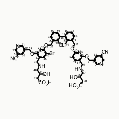 N#Cc1cncc(COc2nc(OCc3cccc(-c4cccc(COc5nc(OCc6cncc(C#N)c6)c(CNCC(O)CC(=O)O)cc5Br)c4Cl)c3Cl)ccc2CNCC(O)CC(=O)O)c1